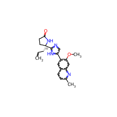 C=CC[C@]1(c2ncc(-c3cc4ccc(C)nc4cc3OC)[nH]2)CCC(=O)N1